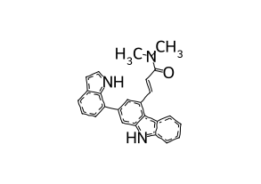 CN(C)C(=O)/C=C/c1cc(-c2cccc3cc[nH]c23)cc2[nH]c3ccccc3c12